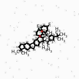 [CH2]=[Zr]([C]1=CC(C(C)(C)C)=CC1CC)([C]1=Cc2cc3c(cc2C1(C)C)Cc1cc2c(cc1-3)C=CC2(C)C)([c]1cccc(F)c1)[c]1cccc(F)c1